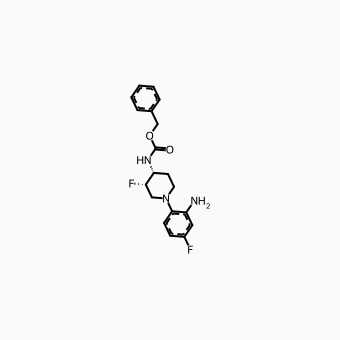 Nc1cc(F)ccc1N1CC[C@@H](NC(=O)OCc2ccccc2)[C@@H](F)C1